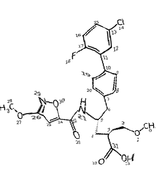 COC[C@H](C[C@@H](Cc1ccc(-c2cc(Cl)ccc2F)cc1)NC(=O)c1cc(OC)no1)C(=O)O